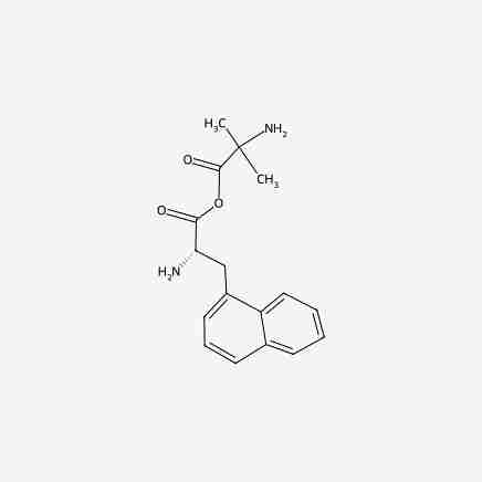 CC(C)(N)C(=O)OC(=O)[C@@H](N)Cc1cccc2ccccc12